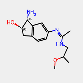 COC(C)CNC(C)=Nc1ccc2c(c1)[C@@H](N)[C@H](O)C2